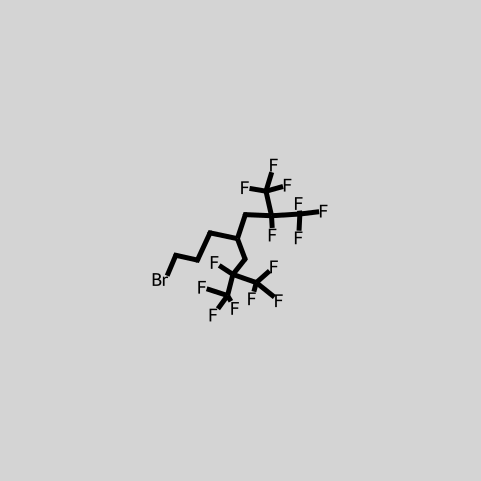 FC(F)(F)C(F)(CC(CCCBr)CC(F)(C(F)(F)F)C(F)(F)F)C(F)(F)F